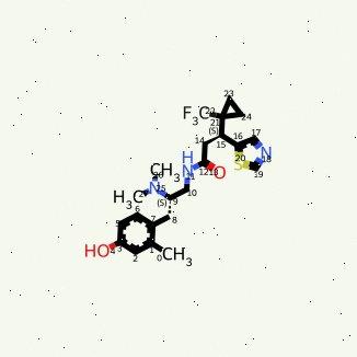 Cc1cc(O)ccc1C[C@@H](CNC(=O)C[C@H](c1cncs1)C1(C(F)(F)F)CC1)N(C)C